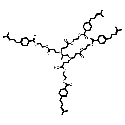 CC(C)=CCCC1=CCC(C(=O)OCCOC(=O)CCN(CCC(O)OCCOC(=O)C2CC=C(CCC=C(C)C)CC2)CC(C)N(CCC(=O)OCCOC(=O)C2CC=C(CCC=C(C)C)CC2)CCC(=O)OCCOC(=O)C2CC=C(CCC=C(C)C)CC2)CC1